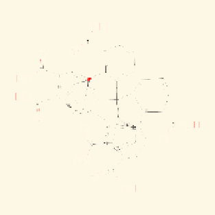 O=C(O)c1ccc(-c2c(C(=O)O)cccc2C2(c3cccc(C(=O)O)c3-c3ccc(C(=O)O)c(C(=O)O)c3)c3ccccc3-c3ccccc32)cc1C(=O)O